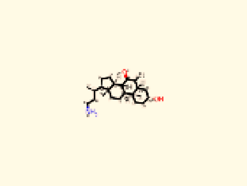 CCC1C(=O)[C@@H]2[C@H](CC[C@]3(C)[C@@H]([C@H](C)CCN)CC[C@@H]23)[C@@]2(C)CC[C@@H](O)C[C@@H]12